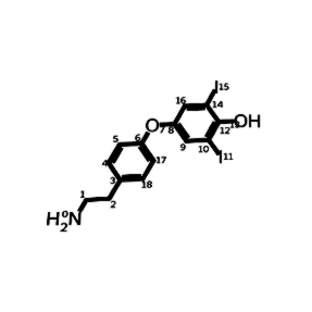 NCCc1ccc(Oc2cc(I)c(O)c(I)c2)cc1